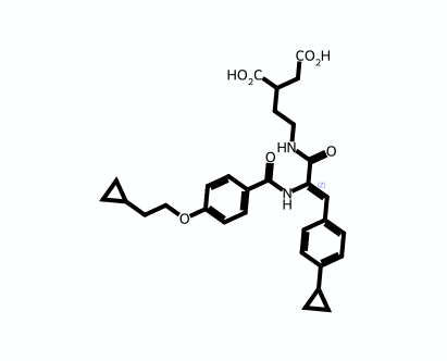 O=C(O)CC(CCNC(=O)/C(=C/c1ccc(C2CC2)cc1)NC(=O)c1ccc(OCCC2CC2)cc1)C(=O)O